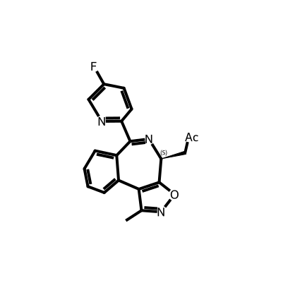 CC(=O)C[C@@H]1N=C(c2ccc(F)cn2)c2ccccc2-c2c(C)noc21